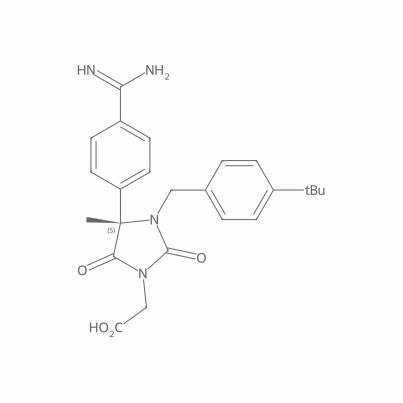 CC(C)(C)c1ccc(CN2C(=O)N(CC(=O)O)C(=O)[C@]2(C)c2ccc(C(=N)N)cc2)cc1